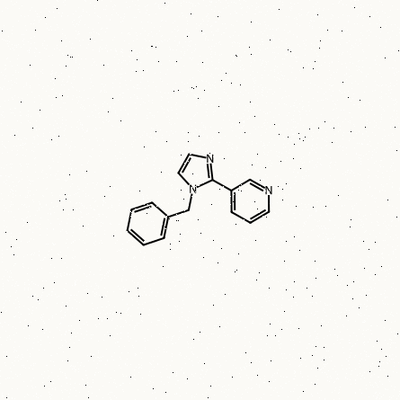 c1ccc(Cn2ccnc2-c2cccnc2)cc1